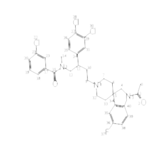 CC(=O)N1CC2(CCN(CCC(CN(C)C(=O)c3cccc(Cl)c3)c3ccc(Cl)c(Cl)c3)CC2)c2cc(F)ccc21